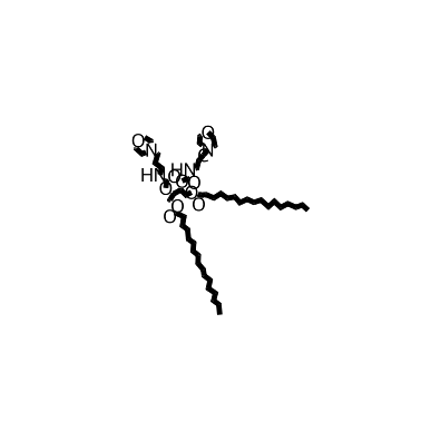 CCCCCCCCCCCCCCCCC(=O)OCC(OC(=O)NCCCN1CCOCC1)C(COC(=O)CCCCCCCCCCCCCCCC)OC(=O)NCCCN1CCOCC1